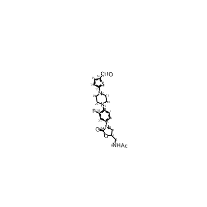 CC(=O)NCC1CN(c2ccc(N3CCN(c4ccc(C=O)s4)CC3)c(F)c2)C(=O)O1